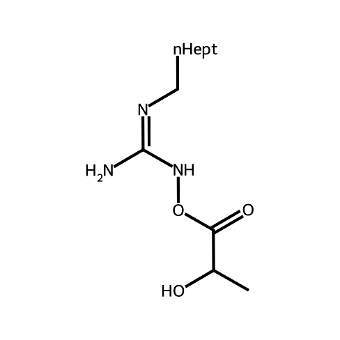 CCCCCCCCN=C(N)NOC(=O)C(C)O